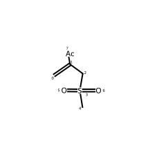 C=C(CS(C)(=O)=O)C(C)=O